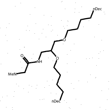 CCCCCCCCCCCCCCOCC(CNC(=O)CNC)OCCCCCCCCCCCCCC